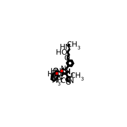 CNCC(O)COc1cccc(-c2nc(NC3C[C@H]4CC[C@@H](C3)N4C(=O)OC)c(C)c(-c3c(C)noc3C)n2)c1